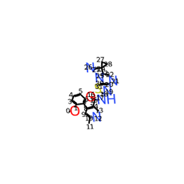 COc1ccccc1-c1cc(C)ncc1C(=O)Nc1nc2ncc(C3(C#N)CC3)nc2s1